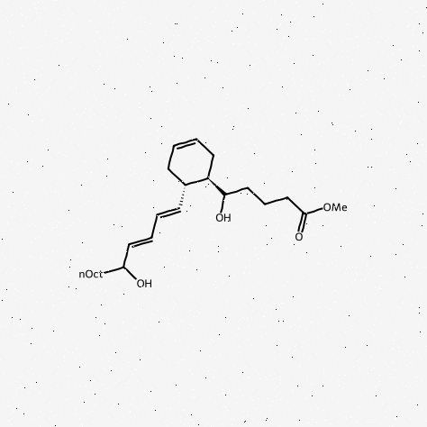 CCCCCCCCC(O)C=CC=C[C@@H]1CC=CC[C@H]1C(O)CCCC(=O)OC